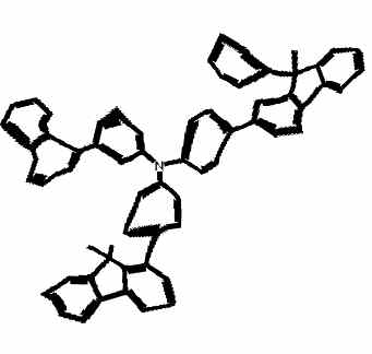 CC1(C)c2ccccc2-c2cccc(-c3ccc(N(c4ccc(-c5ccc6c(c5)C(C)(c5ccccc5)c5ccccc5-6)cc4)c4cccc(-c5cccc6ccccc56)c4)cc3)c21